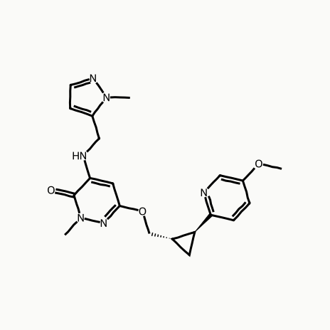 COc1ccc([C@H]2C[C@@H]2COc2cc(NCc3ccnn3C)c(=O)n(C)n2)nc1